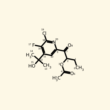 CCC(OC(C)=O)C(=O)c1cc(C(C)(C)O)c(F)c(Cl)n1